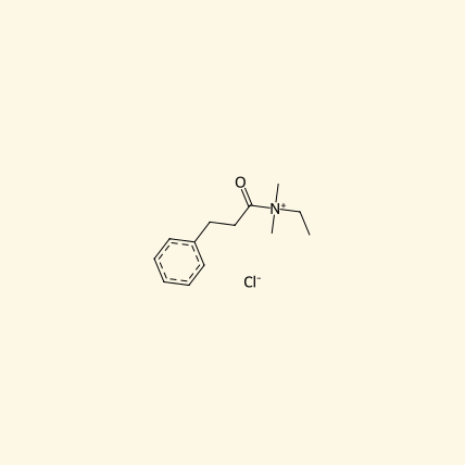 CC[N+](C)(C)C(=O)CCc1ccccc1.[Cl-]